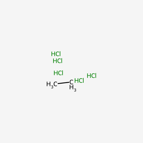 CC.Cl.Cl.Cl.Cl.Cl